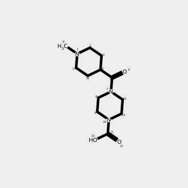 CN1CCC(C(=O)N2CCN(C(=O)O)CC2)CC1